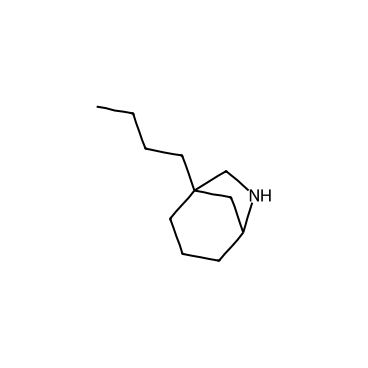 CCCCC12CCCC(C1)NC2